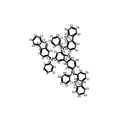 c1ccc(N(c2ccc3c(c2)sc2ccccc23)c2cc(N(c3ccccc3)c3cccc4c3sc3ccccc34)c3sc4ccc(N(c5ccccc5)c5cccc6c5sc5ccccc56)cc4c3c2)cc1